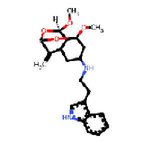 C=C1C2O[C@@H](OC)C3C1CC(NCCc1c[nH]c4ccccc14)CC3(OC)O2